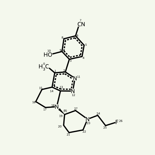 Cc1c(-c2ccc(C#N)cc2O)nnc2c1CCCN2[C@@H]1CCCN(CCF)C1